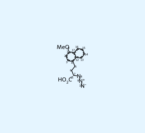 COc1ccc(CC[C@H](N=[N+]=[N-])C(=O)O)c2ccccc12